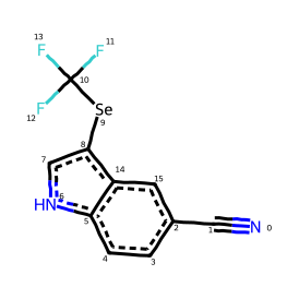 N#Cc1ccc2[nH]cc([Se]C(F)(F)F)c2c1